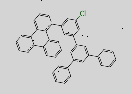 Clc1cc(-c2cc(-c3ccccc3)cc(-c3ccccc3)c2)cc(-c2cccc3c4ccccc4c4ccccc4c23)c1